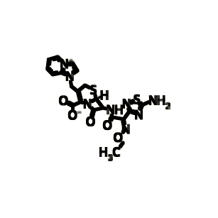 CCO/N=C(\C(=O)NC1C(=O)N2C(C(=O)[O-])=C(Cn3cc[n+]4ccccc34)CS[C@@H]12)c1nsc(N)n1